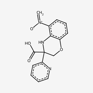 C=[N+]([O-])c1cccc2c1NC(C(=O)O)(c1ccccn1)CO2